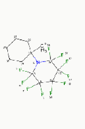 CC1(N2C(F)(F)C(F)(F)C(F)(F)C(F)(F)C2(F)F)CCCCC1